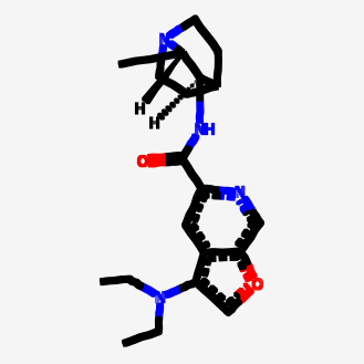 CCN(CC)c1coc2cnc(C(=O)N[C@@H]3C4CCN(CC4)[C@H]3C)cc12